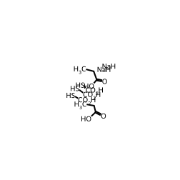 CCC(=O)O.CCC(=O)O.O=C(O)S.O=C(O)S.O=C(O)S.[NaH].[NaH]